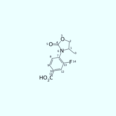 CC1COC(=O)N1c1ccc(C(=O)O)cc1F